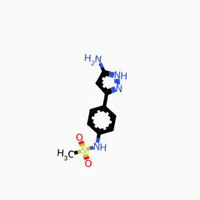 CS(=O)(=O)Nc1ccc(-c2cc(N)[nH]n2)cc1